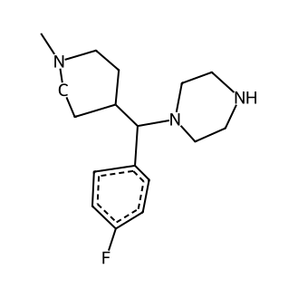 CN1CCC(C(c2ccc(F)cc2)N2CCNCC2)CC1